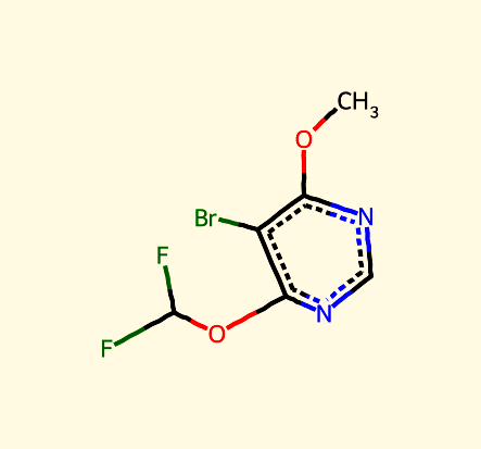 COc1ncnc(OC(F)F)c1Br